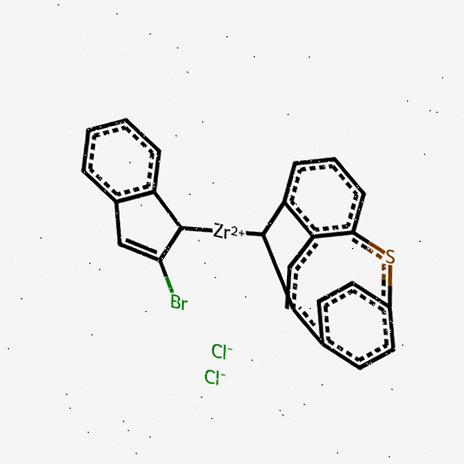 BrC1=Cc2ccccc2[CH]1[Zr+2][CH]1c2cc3c1cccc3sc1ccc2cc1.[Cl-].[Cl-]